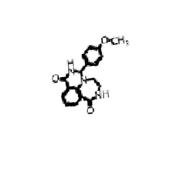 COc1ccc(C2NC(=O)c3cccc4c3N2CCNC4=O)cc1